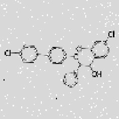 OC(c1ccc(Cl)cc1Cl)C(Oc1ccc(-c2ccc(Cl)cc2)cc1)n1cccc1